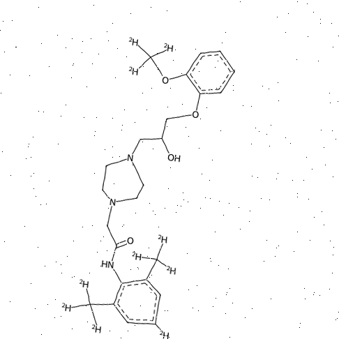 [2H]c1cc(C([2H])([2H])[2H])c(NC(=O)CN2CCN(CC(O)COc3ccccc3OC([2H])([2H])[2H])CC2)c(C([2H])([2H])[2H])c1